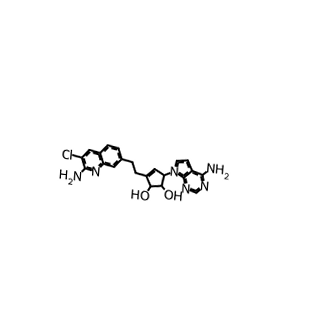 Nc1nc2cc(CCC3=CC(n4ccc5c(N)ncnc54)C(O)C3O)ccc2cc1Cl